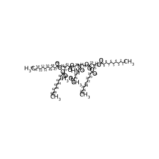 CCCCCCCCCCC(=O)OCC(COC(=O)CCCCCCCCCC)CC(=O)OCCN(CCOC(=O)CC(COC(=O)CCCCCCCCCC)COC(=O)CCCCCCCCCC)C(=O)NCCCN(C)C